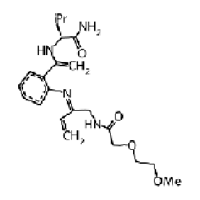 C=C/C(CNC(=O)COCCOC)=N\c1ccccc1C(=C)N[C@H](C(N)=O)C(C)C